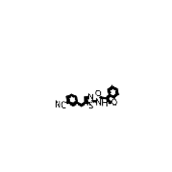 N#Cc1cccc(Cc2cnc(NC(=O)c3coc4ccccc34)s2)c1